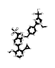 CCn1cc(C(F)(F)F)nc1-c1ccc(Cn2nc(S(C)(=O)=O)c3cnc(-c4c(OC)ncnc4C4CC4)nc32)cc1